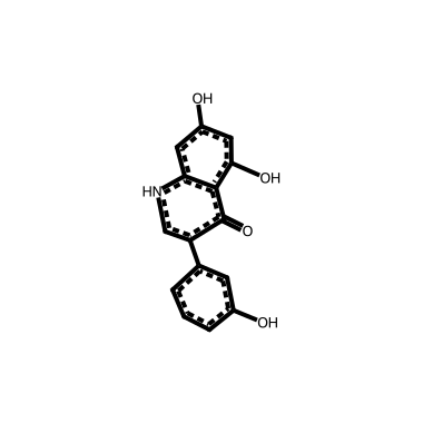 O=c1c(-c2cccc(O)c2)c[nH]c2cc(O)cc(O)c12